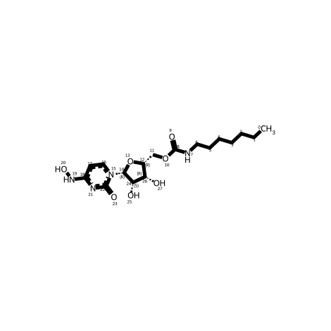 CCCCCCCNC(=O)OC[C@H]1O[C@@H](n2ccc(NO)nc2=O)[C@@H](O)[C@H]1O